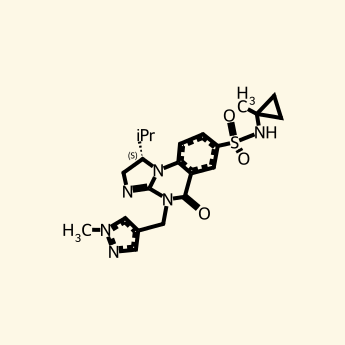 CC(C)[C@H]1CN=C2N(Cc3cnn(C)c3)C(=O)c3cc(S(=O)(=O)NC4(C)CC4)ccc3N21